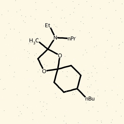 CCCCC1CCC2(CC1)OCC(C)(N(CC)CCC)O2